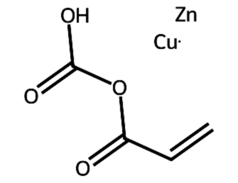 C=CC(=O)OC(=O)O.[Cu].[Zn]